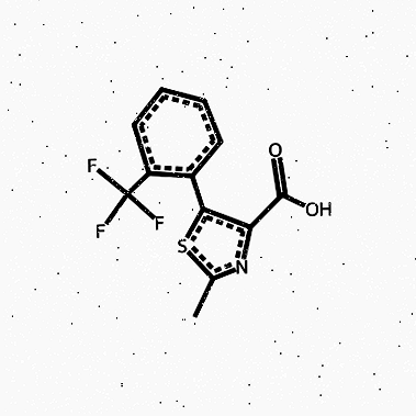 Cc1nc(C(=O)O)c(-c2ccccc2C(F)(F)F)s1